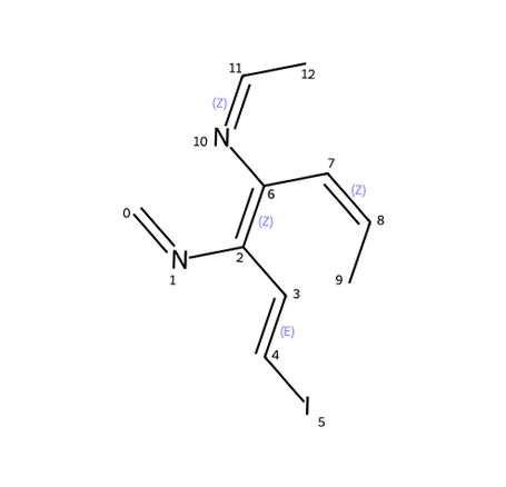 C=NC(/C=C/I)=C(/C=C\C)\N=C/C